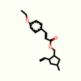 C=CC1CC(C)CC1COC(=O)/C=C/c1ccc(OCC)cc1